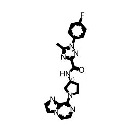 Cc1nc(C(=O)N[C@H]2CCN(c3nccn4ccnc34)C2)nn1-c1ccc(F)cc1